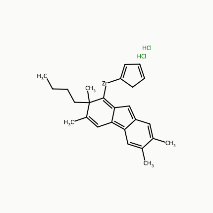 CCCCC1(C)C(C)=CC2=c3cc(C)c(C)cc3=CC2=[C]1[Zr][C]1=CC=CC1.Cl.Cl